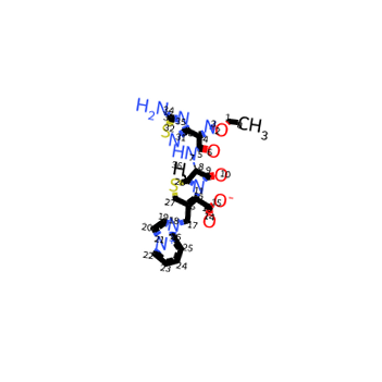 CCO/N=C(\C(=O)N[C@@H]1C(=O)N2C(C(=O)[O-])=C(Cn3cc[n+]4ccccc34)CS[C@@H]12)c1nsc(N)n1